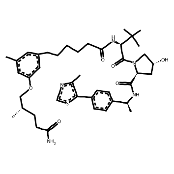 Cc1cc(CCCCCC(=O)N[C@H](C(=O)N2C[C@H](O)C[C@H]2C(=O)N[C@@H](C)c2ccc(-c3scnc3C)cc2)C(C)(C)C)cc(OC[C@@H](C)CCC(N)=O)c1